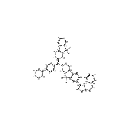 CC1(C)c2ccccc2-c2ccc(N(c3ccc(-c4ccccc4)cc3)c3ccc4c(c3)C(C)(C)c3cc(-n5ccc6ccc7ccccc7c65)ccc3-4)cc21